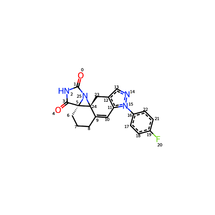 O=C1NC(=O)[C@]23CCCC4=Cc5c(cnn5-c5ccc(F)cc5)C[C@@]42N13